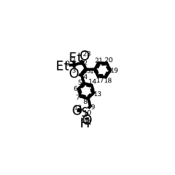 CCC1(CC)OC(c2ccc(C[SH](=O)=O)cc2)=C(c2ccccc2)C1=O